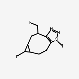 ICC1CC2C(I)C2CCc2c1nnn2I